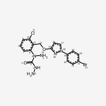 NNC(=O)N(N)c1cccc(Cl)c1COc1ccn(-c2ccc(Br)cc2)n1